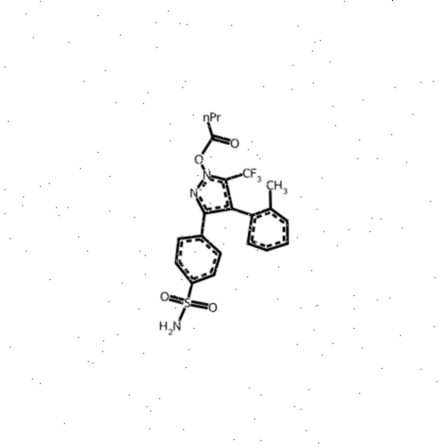 CCCC(=O)On1nc(-c2ccc(S(N)(=O)=O)cc2)c(-c2ccccc2C)c1C(F)(F)F